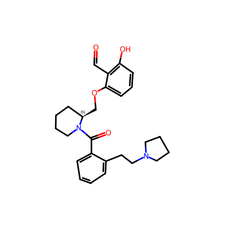 O=Cc1c(O)cccc1OC[C@@H]1CCCCN1C(=O)c1ccccc1CCN1CCCC1